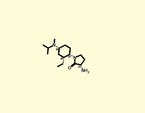 CC[C@@H]1C[C@H](N(C)C(C)C)CC[C@@H]1N1CC[C@H](N)C1=O